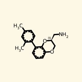 Cc1ccc(-c2cccc3c2O[C@@H](CN)CO3)c(C)c1